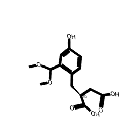 COC(OC)c1cc(O)ccc1C[C@@H](CC(=O)O)C(=O)O